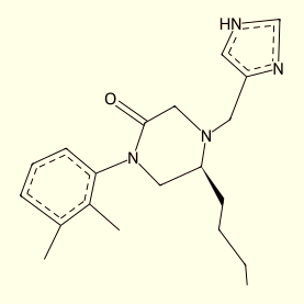 CCCC[C@H]1CN(c2cccc(C)c2C)C(=O)CN1Cc1c[nH]cn1